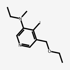 CCOCc1cncc(N(C)CC)c1I